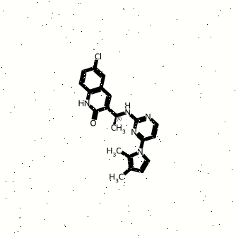 Cc1ccn(-c2ccnc(N[C@@H](C)c3cc4cc(Cl)ccc4[nH]c3=O)n2)c1C